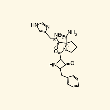 NC(=O)[C@@]1(C(=O)[C@@H](N)Cc2c[nH]cn2)CCCN1C(=O)C1NC(Cc2ccccc2)C1=O